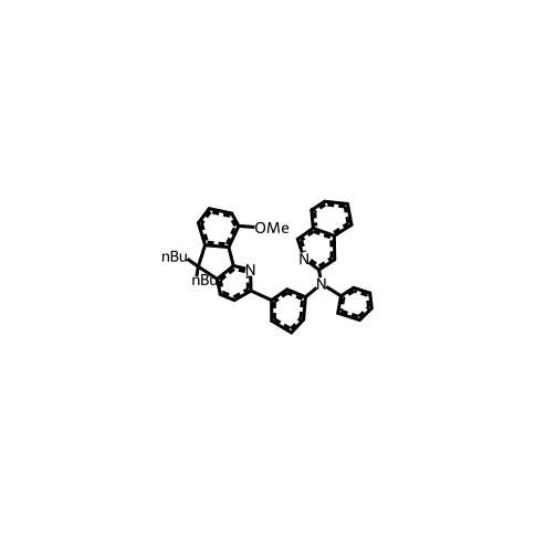 CCCCC1(CCCC)c2ccc(-c3cccc(N(c4ccccc4)c4cc5ccccc5cn4)c3)nc2-c2c(OC)cccc21